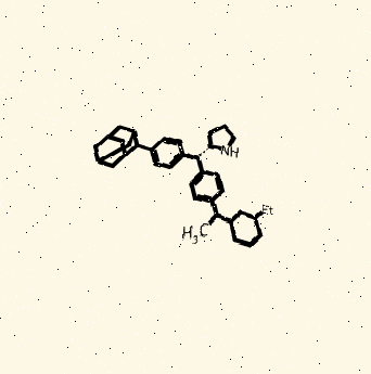 CCC1CCCC(C(C)c2ccc(C(c3ccc(C4C5CC6CC(C5)CC4C6)cc3)[C@@H]3CCCN3)cc2)C1